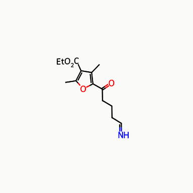 CCOC(=O)c1c(C)oc(C(=O)CCCC=N)c1C